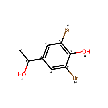 CC(O)c1cc(Br)c(O)c(Br)c1